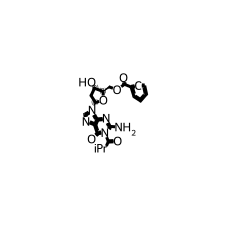 CC(C)C(=O)n1c(N)nc2c(ncn2[C@H]2C[C@@H](O)[C@@H](COC(=O)c3ccccc3)O2)c1=O